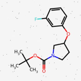 CC(C)(C)OC(=O)N1CCC(Oc2cccc(F)c2)C1